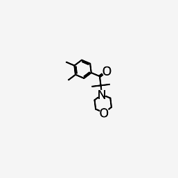 Cc1ccc(C(=O)C(C)(C)N2CCOCC2)cc1C